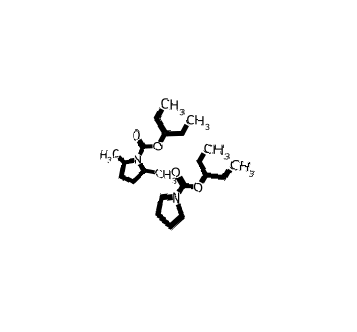 CCC(CC)OC(=O)N1C(C)CCC1C.CCC(CC)OC(=O)N1CCCC1